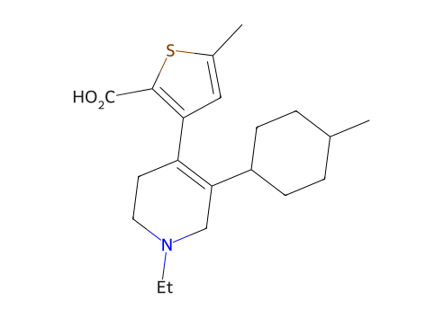 CCN1CCC(c2cc(C)sc2C(=O)O)=C(C2CCC(C)CC2)C1